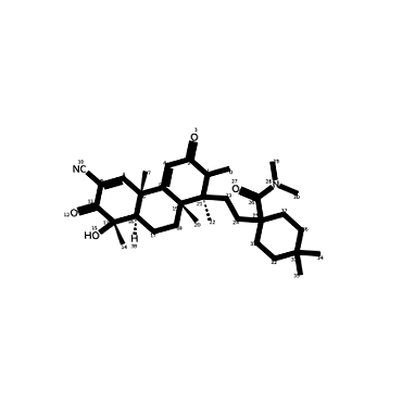 CC1C(=O)C=C2[C@@]3(C)C=C(C#N)C(=O)[C@@](C)(O)[C@@H]3CC[C@@]2(C)[C@]1(C)CCC1(C(=O)N(C)C)CCC(C)(C)CC1